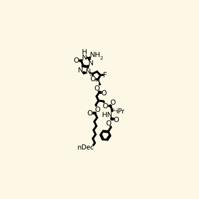 CCCCCCCCCCCCCCCCCC(=O)OCC(COC(=O)[C@@H](NC(=O)OCc1ccccc1)C(C)C)CC(=O)OC[C@H]1O[C@@H](n2cnc3c(=O)[nH]c(N)nc32)CC1F